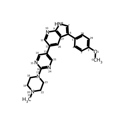 COc1ccc(-c2c[nH]c3ncc(-c4cnc(N5CCN(C)CC5)nc4)cc23)cc1